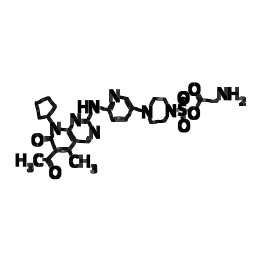 CC(=O)c1c(C)c2cnc(Nc3ccc(N4CCN(S(=O)(=O)OC(=O)CN)CC4)cn3)nc2n(C2CCCC2)c1=O